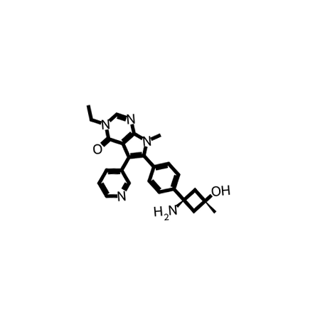 CCn1cnc2c(c(-c3cccnc3)c(-c3ccc([C@]4(N)C[C@](C)(O)C4)cc3)n2C)c1=O